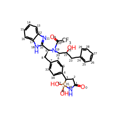 O=C1CC(c2ccc(C[C@@H](c3nc4ccccc4[nH]3)N(C[C@@H](O)Cc3ccccc3)C(=O)C(F)(F)F)cc2)S(O)(O)N1